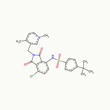 Cc1cc[n+](C)cc1CN1C(=O)c2c(Cl)ccc(NS(=O)(=O)c3ccc(C(C)(C)C)cc3)c2C1=O